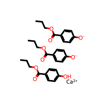 CCCOC(=O)c1ccc(O)cc1.CCCOC(=O)c1ccc([O-])cc1.CCCOC(=O)c1ccc([O-])cc1.[Ca+2]